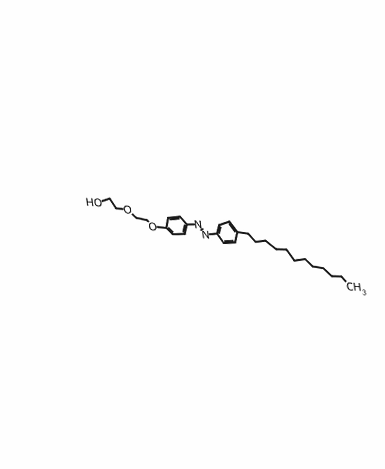 CCCCCCCCCCCCc1ccc(N=Nc2ccc(OCCOCCO)cc2)cc1